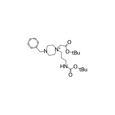 CC(C)(C)OC(=O)C[N+]1(CCCNC(=O)OC(C)(C)C)CCN(Cc2ccccc2)CC1